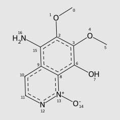 COc1c(OC)c(O)c2c(ccn[n+]2[O-])c1N